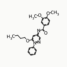 CCCCOc1cc(=NC(=O)c2ccc(OC)c(OC)c2)cnn1-c1ccccc1